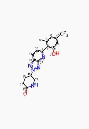 Cc1cc(C(F)(F)F)cc(O)c1-c1ccc2nn(C3CCC(=O)NC3)nc2n1